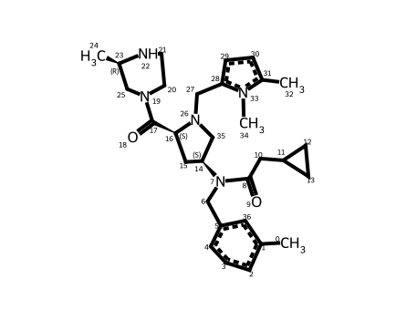 Cc1cccc(CN(C(=O)CC2CC2)[C@H]2C[C@@H](C(=O)N3CCN[C@H](C)C3)N(Cc3ccc(C)n3C)C2)c1